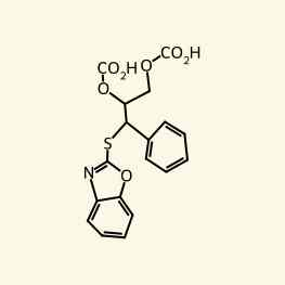 O=C(O)OCC(OC(=O)O)C(Sc1nc2ccccc2o1)c1ccccc1